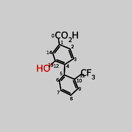 O=C(O)c1ccc(-c2ccccc2C(F)(F)F)c(O)c1